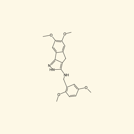 COc1ccc(OC)c(CNc2[nH]nc3c2Cc2cc(OC)c(OC)cc2-3)c1